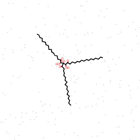 CCCCCCCCCCCCCCCCCC(=O)C(O)(C(O)C(=O)CCCCCCCCCCCCCCC)C(O)C(=O)CCCCCCCCCCCCCCC